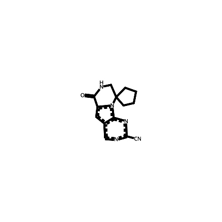 N#Cc1ncc2cc3n(c2n1)C1(CCCC1)CNC3=O